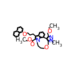 CCOCc1nn(C)c2c1-c1cccc3c(CCCOc4cccc5ccccc45)c(C(=O)OCC)n(c13)CCCCOC2